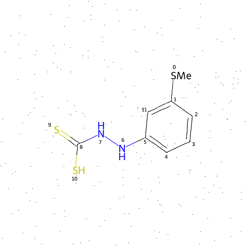 CSc1cccc(NNC(=S)S)c1